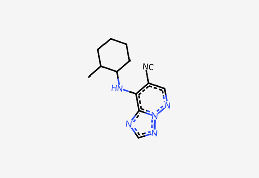 [C-]#[N+]c1cnn2ncnc2c1NC1CCCCC1C